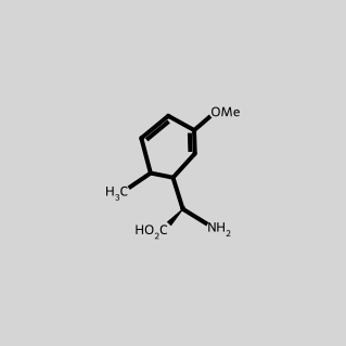 COC1=CC([C@@H](N)C(=O)O)C(C)C=C1